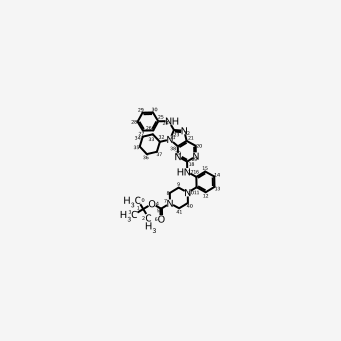 CC(C)(C)OC(=O)N1CCN(c2ccccc2Nc2ncc3nc(Nc4ccccc4)n(C4CCCCC4)c3n2)CC1